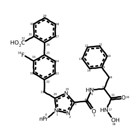 CCCn1nc(C(=O)NC(Cc2ccccc2)C(=O)NO)nc1Cc1ccc(-c2ccccc2C(=O)O)c(F)c1